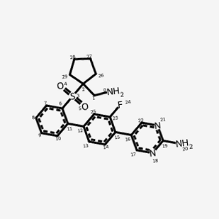 NCC1(S(=O)(=O)c2ccccc2-c2ccc(-c3cnc(N)nc3)c(F)c2)CCCC1